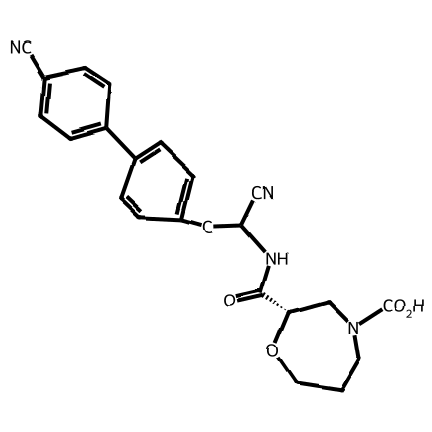 N#Cc1ccc(-c2ccc(CC(C#N)NC(=O)[C@@H]3CN(C(=O)O)CCCO3)cc2)cc1